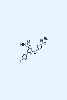 CC(C)(C)OC(=O)N1CC2C(C1)C2Oc1cc(C2(C)CNC2=O)cc(-c2ccc(F)cc2)n1